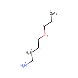 COCCOCC[SiH2]CN